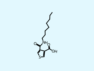 CCCCCCCCNC(=O)c1cscc1C(=O)O